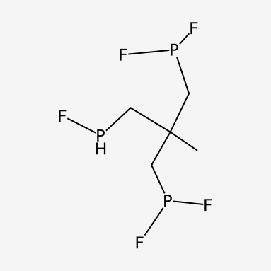 CC(CPF)(CP(F)F)CP(F)F